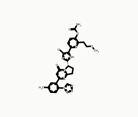 COCCc1nc(-c2[nH]c([C@@H]3CCc4nc(-c5cc(C)ccc5-n5cnnn5)cc(=O)n43)nc2Cl)ccc1OC(N)=O